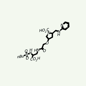 CCCCS(=O)(=O)NC(CNC(=O)COC1CC(CNc2ccccn2)N(C(=O)O)C1)C(=O)O